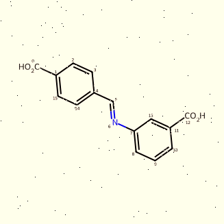 O=C(O)c1ccc(/C=N/c2cccc(C(=O)O)c2)cc1